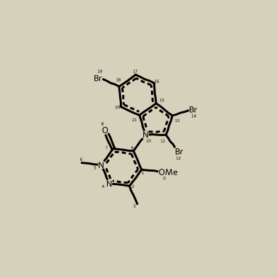 COc1c(C)nn(C)c(=O)c1-n1c(Br)c(Br)c2ccc(Br)cc21